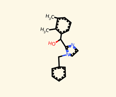 Cc1cccc(C(O)c2nccn2Cc2ccccc2)c1C